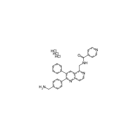 Cl.Cl.Cl.NCc1ccc(-c2nc3ccnc(CNC(=O)c4ccncc4)c3cc2-c2ccccc2)cc1